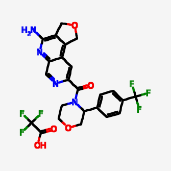 Nc1nc2cnc(C(=O)N3CCOCC3c3ccc(C(F)(F)F)cc3)cc2c2c1COC2.O=C(O)C(F)(F)F